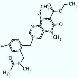 CCOC(=O)c1c(OC)c2ncc(Cc3ccc(F)cc3CN(C)C(C)=O)cc2n(C)c1=O